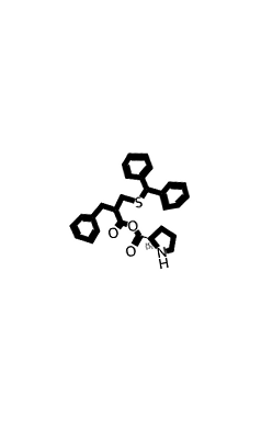 O=C(OC(=O)[C@@H]1CCCN1)C(CSC(c1ccccc1)c1ccccc1)Cc1ccccc1